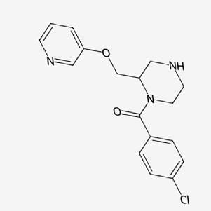 O=C(c1ccc(Cl)cc1)N1CCNCC1COc1cccnc1